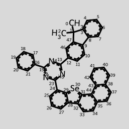 CC1(C)c2ccccc2-c2ccc(-c3nc(-c4ccccc4)nc(-c4cccc5c4[se]c4c5ccc5ccc6ccccc6c54)n3)cc21